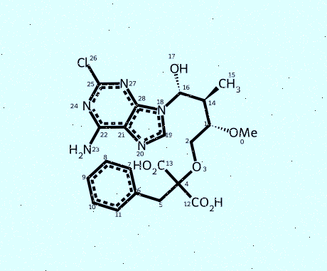 CO[C@H](COC(Cc1ccccc1)(C(=O)O)C(=O)O)[C@H](C)[C@@H](O)n1cnc2c(N)nc(Cl)nc21